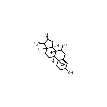 C[C@]12CCC(O)C=C1CC(O)[C@@H]1[C@H]2CC[C@]2(C)C(N)C(=O)C[C@@H]12